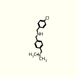 CN(C)Cc1ccc(CNCc2ccc(Cl)cc2)cc1